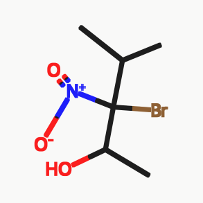 CC(C)C(Br)(C(C)O)[N+](=O)[O-]